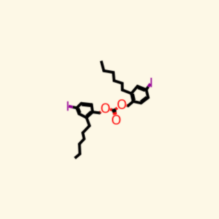 CCCCCCc1cc(I)ccc1COC(=O)OCc1ccc(I)cc1CCCCCC